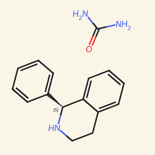 NC(N)=O.c1ccc([C@@H]2NCCc3ccccc32)cc1